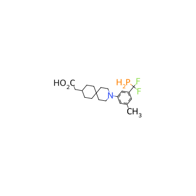 Cc1cc(N2CCC3(CCC(CC(=O)O)CC3)CC2)cc(C(F)(F)P)c1